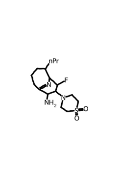 CCCC1CCCC2=NC1C(F)C(N1CCS(=O)(=O)CC1)C2N